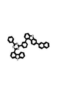 C1=C(c2nc(-c3ccccc3)nc(-c3cccc4sc5ccccc5c34)n2)C=C(c2cccc3oc4cc(-c5ccc6ccccc6c5)ccc4c23)CC1